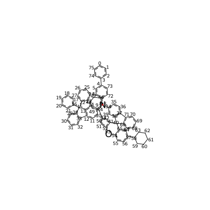 c1ccc(-c2ccc(N(c3ccc4c(c3)C(c3ccccc3)(c3ccccc3)c3ccccc3-4)c3ccc4c(c3)C3(c5cc(C6CCCCC6)ccc5Oc5ccc(C6CCCCC6)cc53)c3ccccc3-4)cc2)cc1